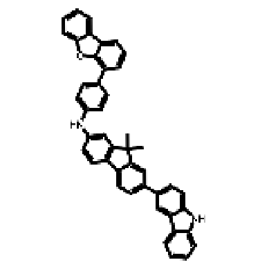 CC1(C)c2cc(Nc3ccc(-c4cccc5c4oc4ccccc45)cc3)ccc2-c2ccc(-c3ccc4[nH]c5ccccc5c4c3)cc21